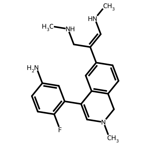 CN/C=C(\CNC)c1ccc2c(c1)C(c1cc(N)ccc1F)=CN(C)C2